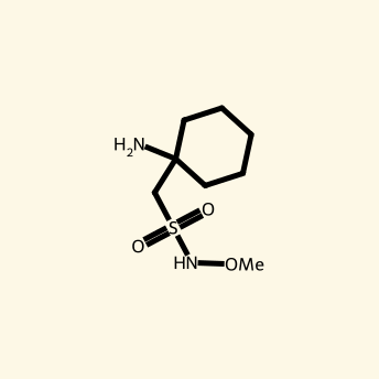 CONS(=O)(=O)CC1(N)CCCCC1